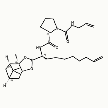 C=CCCCCCC[C@H](NC(=O)[C@@H]1CCCN1C(=O)NCC=C)B1OC2C[C@H]3C[C@H](C3(C)C)[C@@]2(C)O1